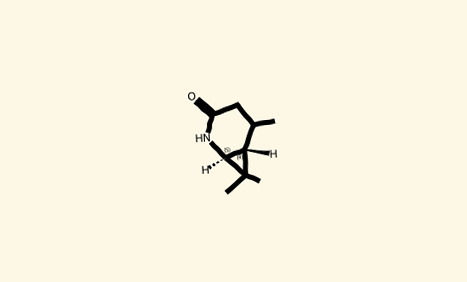 CC1CC(=O)N[C@H]2[C@H]1C2(C)C